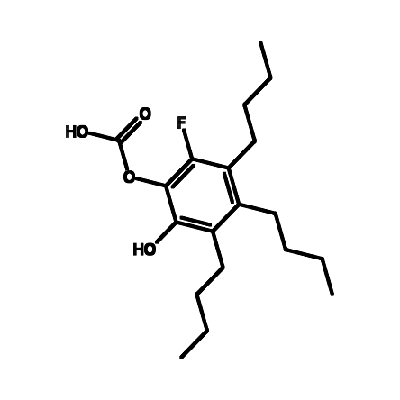 CCCCc1c(O)c(OC(=O)O)c(F)c(CCCC)c1CCCC